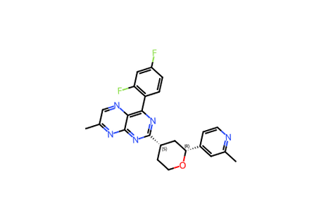 Cc1cc([C@H]2C[C@@H](c3nc(-c4ccc(F)cc4F)c4ncc(C)nc4n3)CCO2)ccn1